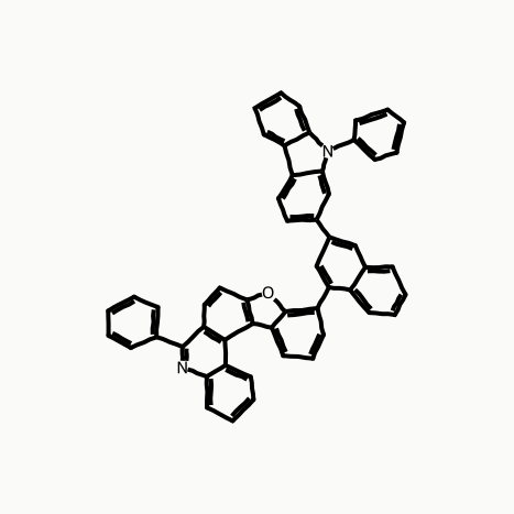 c1ccc(-c2nc3ccccc3c3c2ccc2oc4c(-c5cc(-c6ccc7c8ccccc8n(-c8ccccc8)c7c6)cc6ccccc56)cccc4c23)cc1